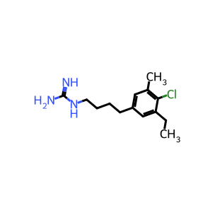 CCc1cc(CCCCNC(=N)N)cc(C)c1Cl